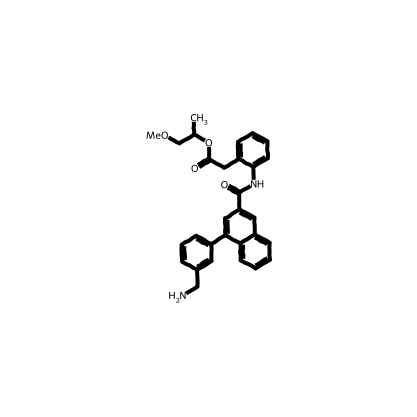 COCC(C)OC(=O)Cc1ccccc1NC(=O)c1cc(-c2cccc(CN)c2)c2ccccc2c1